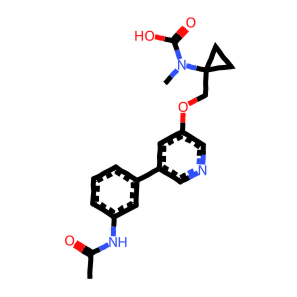 CC(=O)Nc1cccc(-c2cncc(OCC3(N(C)C(=O)O)CC3)c2)c1